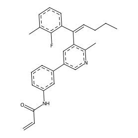 C=CC(=O)Nc1cccc(-c2cnc(C)c(/C(=C\CCC)c3cccc(C)c3F)c2)c1